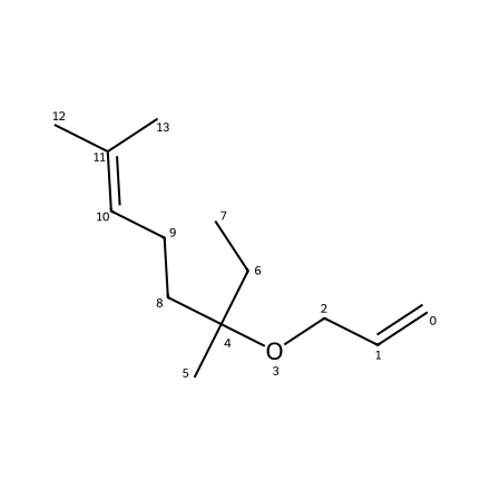 C=CCOC(C)(CC)CCC=C(C)C